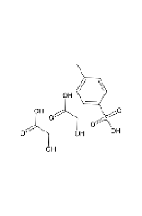 Cc1ccc(S(=O)(=O)O)cc1.O=C(O)CO.O=C(O)CO